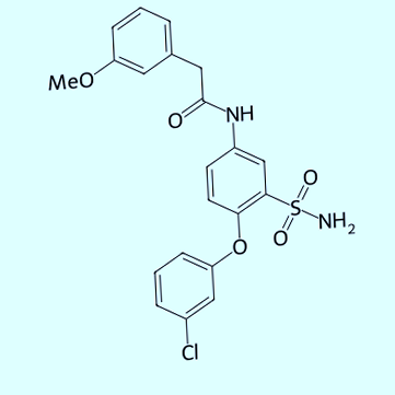 COc1cccc(CC(=O)Nc2ccc(Oc3cccc(Cl)c3)c(S(N)(=O)=O)c2)c1